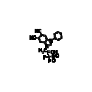 C[n+]1cn(-c2ccccc2)c2cc(C#N)c(C#N)cc21.O=S(=O)(O)C(F)(F)F